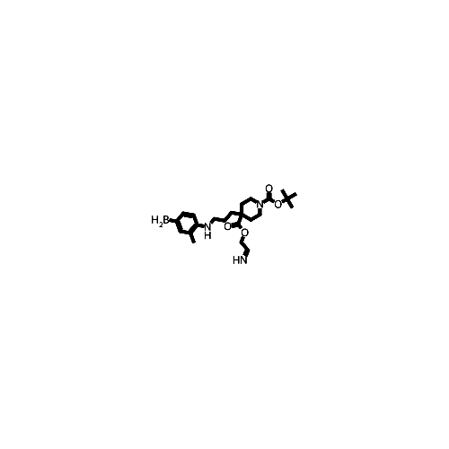 Bc1ccc(NCCCC2(C(=O)OCC=N)CCN(C(=O)OC(C)(C)C)CC2)c(C)c1